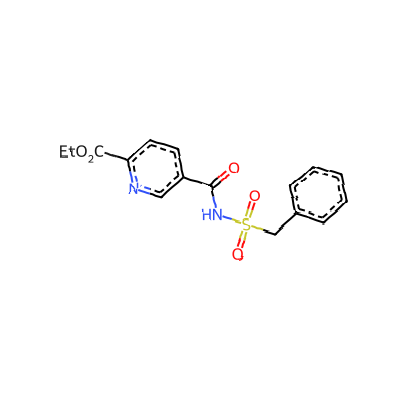 CCOC(=O)c1ccc(C(=O)NS(=O)(=O)Cc2ccccc2)cn1